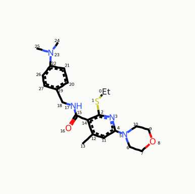 CCSc1nc(N2CCOCC2)cc(C)c1C(=O)NCc1ccc(N(C)C)cc1